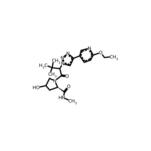 CCOc1ccc(-c2cn(C(C(=O)N3CC(O)C[C@@H]3C(=O)NC)C(C)(C)C)nn2)cn1